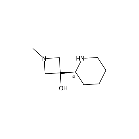 CN1CC(O)([C@@H]2CCCCN2)C1